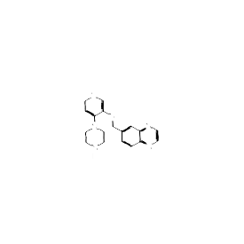 C1=C(NCc2ccc3nccnc3c2)C(N2CCNCC2)=CCN1